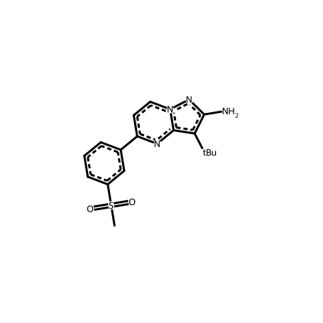 CC(C)(C)c1c(N)nn2ccc(-c3cccc(S(C)(=O)=O)c3)nc12